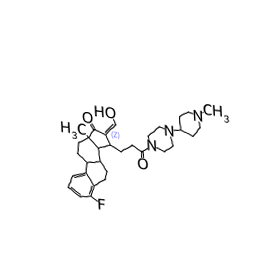 CN1CCC(N2CCN(C(=O)CCC3/C(=C/O)C(=O)C4(C)CCC5c6cccc(F)c6CCC5C34)CC2)CC1